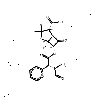 CC1(C)S[C@@H]2[C@@H](NC(=O)[C@@H](c3ccccc3)N(N)C=O)C(=O)N2[C@H]1C(=O)O